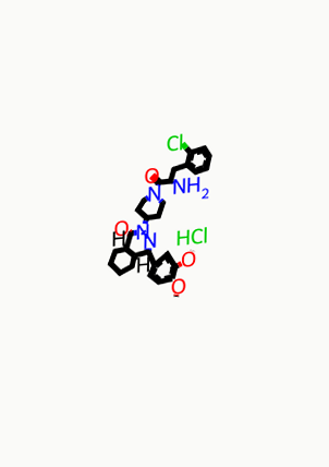 COc1ccc(C2=NN(C3CCN(C(=O)[C@H](N)Cc4ccccc4Cl)CC3)C(=O)[C@@H]3CCCC[C@H]23)cc1OC.Cl